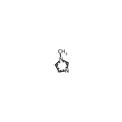 Cn1[c][c]nc1